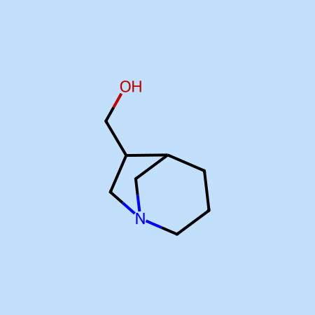 OCC1CN2CCCC1C2